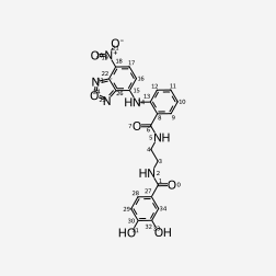 O=C(NCCNC(=O)c1ccccc1Nc1ccc([N+](=O)[O-])c2nonc12)c1ccc(O)c(O)c1